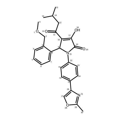 COCc1ccccc1C1C(C(=O)CC(C)C)=C(O)C(=O)N1c1ccc(-c2coc(C)n2)cc1